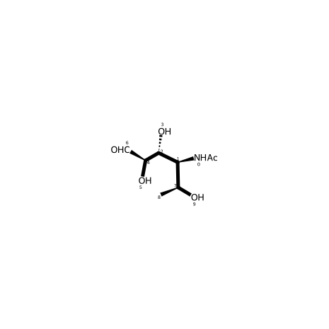 CC(=O)N[C@H]([C@@H](O)[C@@H](O)C=O)[C@H](C)O